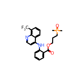 CP(C)(=O)CCCOC(=O)c1ccccc1Nc1ccnc2c(C(F)(F)F)cccc12